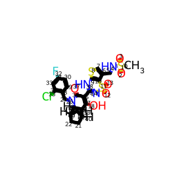 CS(=O)(=O)NCc1csc2c1S(=O)(=O)N=C(C1=C(O)[C@@H]3[C@@H]4CC[C@@H](C4)[C@@H]3N(Cc3ccc(F)cc3Cl)C1=O)N2